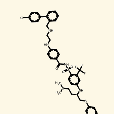 CN(C)CC[C@H](CSc1ccccc1)Nc1ccc(S(=O)(=O)NC(=O)c2ccc(NCCNCc3ccccc3-c3ccc(Cl)cc3)cc2)c(C(F)(F)F)c1